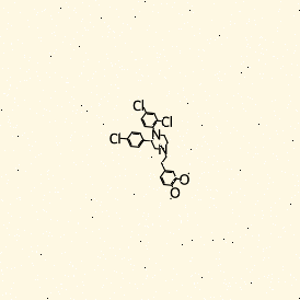 COc1ccc(CCN2CCN(c3ccc(Cl)cc3Cl)[C@H](c3ccc(Cl)cc3)C2)cc1OC